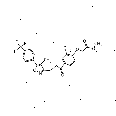 COC(=O)COc1ccc(C(=O)CCc2noc(-c3ccc(C(F)(F)F)cc3)c2C)cc1C